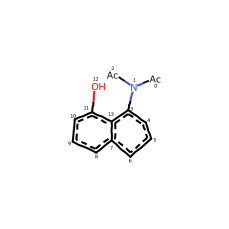 CC(=O)N(C(C)=O)c1cccc2cccc(O)c12